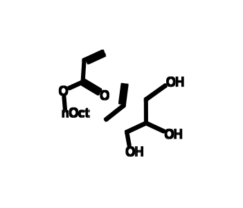 C=CC.C=CC(=O)OCCCCCCCC.OCC(O)CO